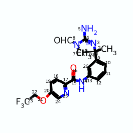 CC[C@](C)(/N=C(/N)N(C)C=O)c1cccc(NC(=O)c2ccc(OCC(F)(F)F)cn2)c1